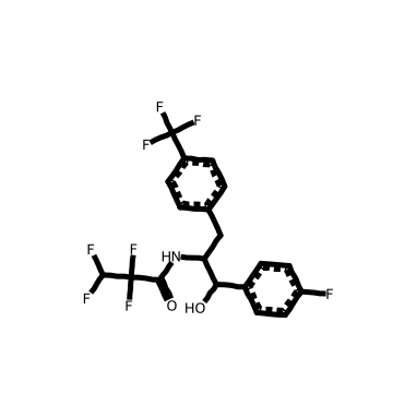 O=C(NC(Cc1ccc(C(F)(F)F)cc1)C(O)c1ccc(F)cc1)C(F)(F)C(F)F